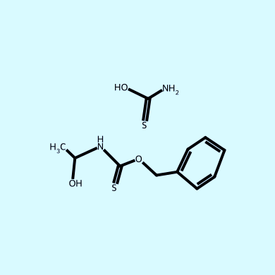 CC(O)NC(=S)OCc1ccccc1.NC(O)=S